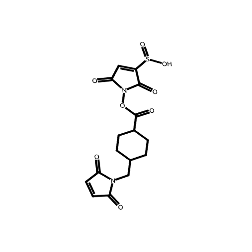 O=C(ON1C(=O)C=C(S(=O)O)C1=O)C1CCC(CN2C(=O)C=CC2=O)CC1